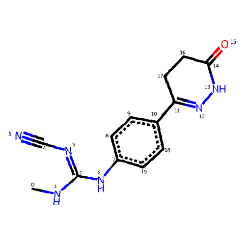 CNC(=NC#N)Nc1ccc(C2=NNC(=O)CC2)cc1